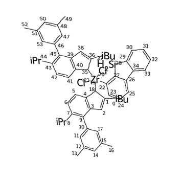 CCC(C)C1=Cc2c(ccc(C(C)C)c2-c2cc(C)cc(C)c2)[CH]1[Zr]([Cl])([Cl])([c]1cccc2c1[SiH2]c1ccccc1-2)[CH]1C(C(C)CC)=Cc2c1ccc(C(C)C)c2-c1cc(C)cc(C)c1